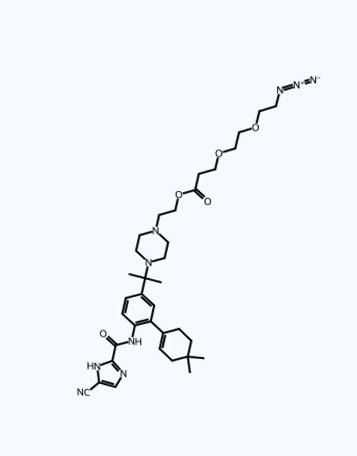 CC1(C)CC=C(c2cc(C(C)(C)N3CCN(CCOC(=O)CCOCCOCCN=[N+]=[N-])CC3)ccc2NC(=O)c2ncc(C#N)[nH]2)CC1